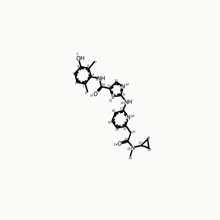 Cc1ccc(O)c(C)c1NC(=O)c1cnc(Nc2cccc(CC(=O)N(C)C3CC3)n2)s1